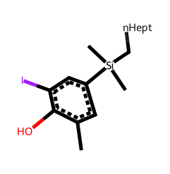 CCCCCCCC[Si](C)(C)c1cc(C)c(O)c(I)c1